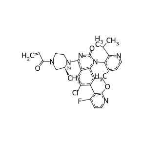 C=CC(=O)N1CCN(c2nc(=O)n(-c3c(C)ccnc3C(C)C)c3c4c(c(Cl)cc23)-c2c(F)ccnc2OC4)[C@@H](C)C1